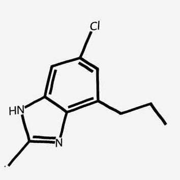 [CH2]c1nc2c(CCC)cc(Cl)cc2[nH]1